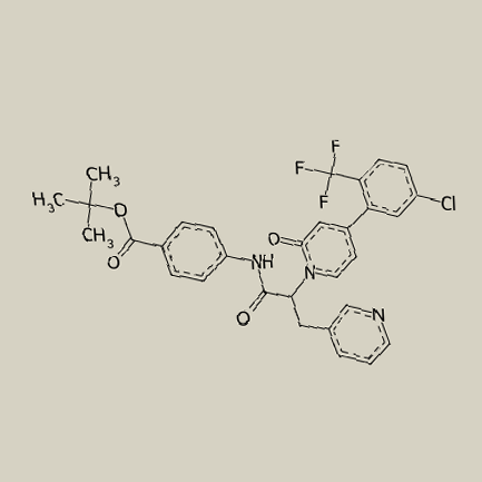 CC(C)(C)OC(=O)c1ccc(NC(=O)C(Cc2cccnc2)n2ccc(-c3cc(Cl)ccc3C(F)(F)F)cc2=O)cc1